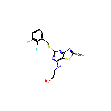 COc1nc2nc(SCc3cccc(F)c3F)nc(NCCO)c2s1